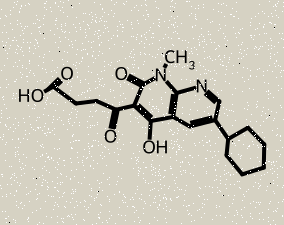 Cn1c(=O)c(C(=O)CCC(=O)O)c(O)c2cc(C3CCCCC3)cnc21